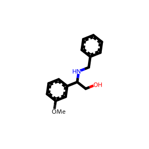 COc1cccc(C(CO)NCc2ccccc2)c1